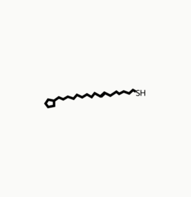 SCCCCCC/C=C/CCCCCCCCCC1CCCC1